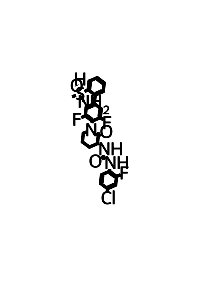 C[SH](N)(=O)c1ccccc1-c1cc(F)c(N2CCC[C@@H](NC(=O)Nc3ccc(Cl)cc3F)C2=O)c(F)c1